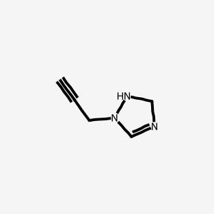 C#CCN1C=NCN1